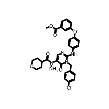 COC(=O)c1cccc(Oc2ccc(Nc3ncc(N(N)C(=O)C4CCOCC4)c(=O)n3Cc3ccc(Cl)cc3)cc2)c1